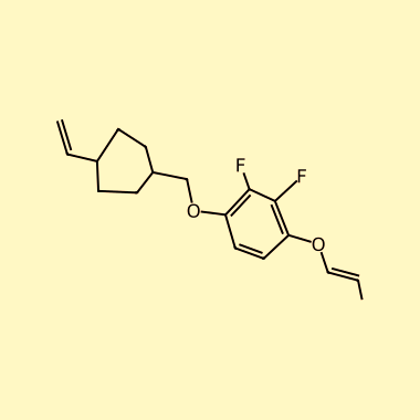 C=CC1CCC(COc2ccc(O/C=C/C)c(F)c2F)CC1